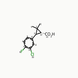 CC1(C)C(c2ccc(F)c(Cl)c2)[C@H]1C(=O)O